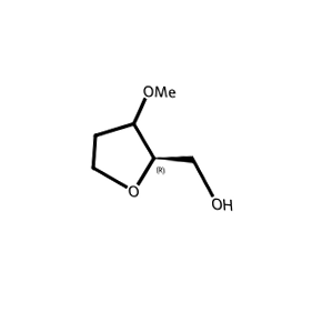 COC1CCO[C@@H]1CO